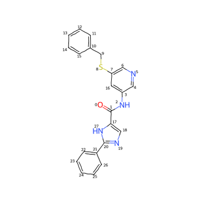 O=C(Nc1cncc(SCc2ccccc2)c1)c1cnc(-c2ccccc2)[nH]1